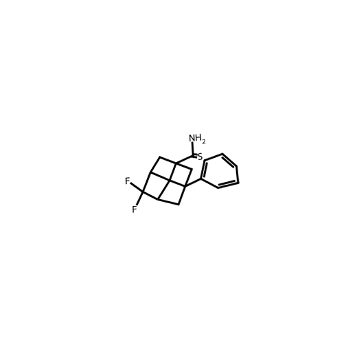 NC(=S)C12CC3C(F)(F)C4CC(c5ccccc5)(C1)C342